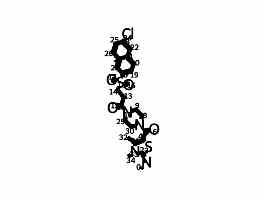 CN=c1sc(C(=O)N2CCN(C(=O)CCS(=O)(=O)c3ccc4cc(Cl)ccc4c3)CC2)c(C)n1C